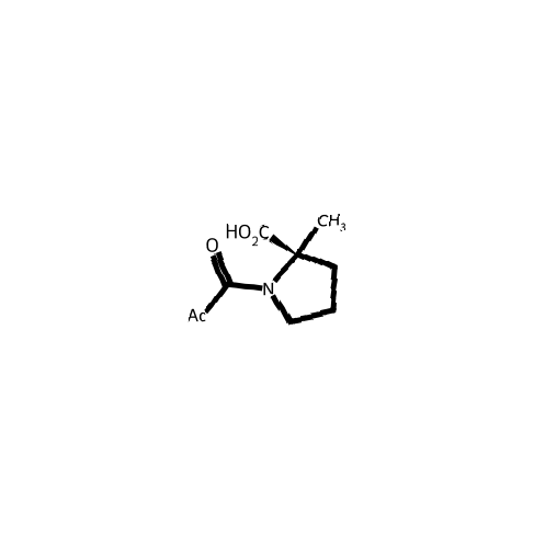 CC(=O)C(=O)N1CCC[C@]1(C)C(=O)O